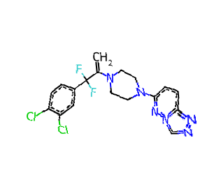 C=C(N1CCN(c2ccc3nncn3n2)CC1)C(F)(F)c1ccc(Cl)c(Cl)c1